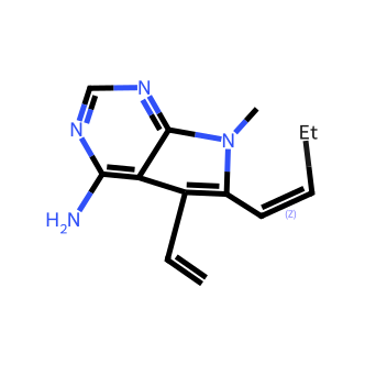 C=Cc1c(/C=C\CC)n(C)c2ncnc(N)c12